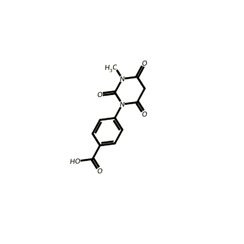 CN1C(=O)CC(=O)N(c2ccc(C(=O)O)cc2)C1=O